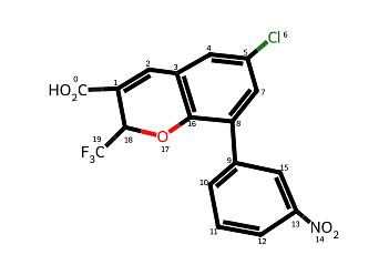 O=C(O)C1=Cc2cc(Cl)cc(-c3cccc([N+](=O)[O-])c3)c2OC1C(F)(F)F